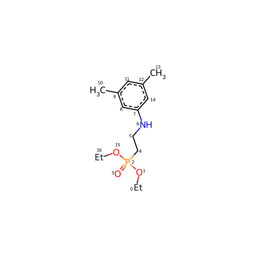 CCOP(=O)(CCNc1cc(C)cc(C)c1)OCC